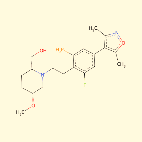 CO[C@@H]1CC[C@H](CO)N(CCc2c(F)cc(-c3c(C)noc3C)cc2P)C1